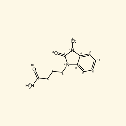 CCn1c(=O)n(CCCC(N)=O)c2ccccc21